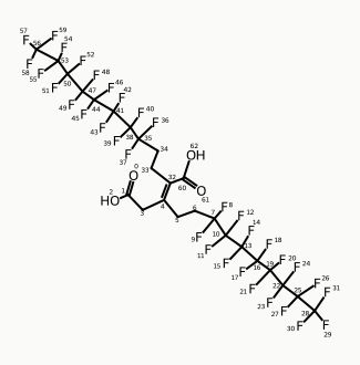 O=C(O)CC(CCC(F)(F)C(F)(F)C(F)(F)C(F)(F)C(F)(F)C(F)(F)C(F)(F)C(F)(F)F)=C(CCC(F)(F)C(F)(F)C(F)(F)C(F)(F)C(F)(F)C(F)(F)C(F)(F)C(F)(F)F)C(=O)O